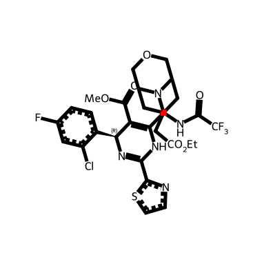 CCOC(=O)CC1(NC(=O)C(F)(F)F)CC2COCC(C1)N2CC1=C(C(=O)OC)[C@H](c2ccc(F)cc2Cl)N=C(c2nccs2)N1